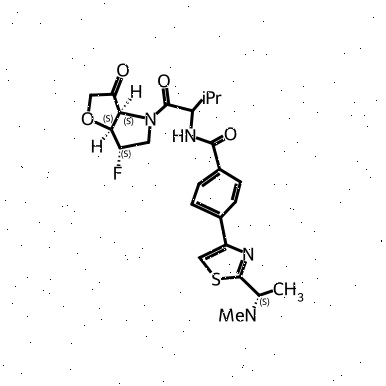 CN[C@@H](C)c1nc(-c2ccc(C(=O)NC(C(=O)N3C[C@H](F)[C@H]4OCC(=O)[C@H]43)C(C)C)cc2)cs1